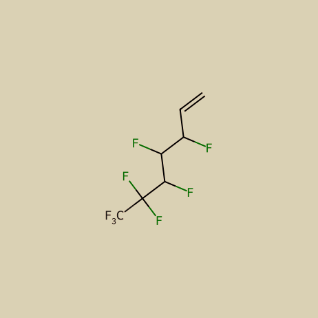 C=CC(F)C(F)C(F)C(F)(F)C(F)(F)F